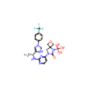 CC(Nc1nccc(N2CC3(COC3)N(C(O)(O)O)C2=O)n1)C1=CN(c2ccc(C(F)(F)F)cc2)CN1